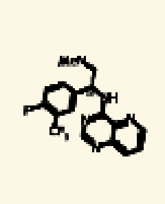 CNC[C@@H](Nc1ncnc2cccnc12)c1ccc(F)c(C(F)(F)F)c1